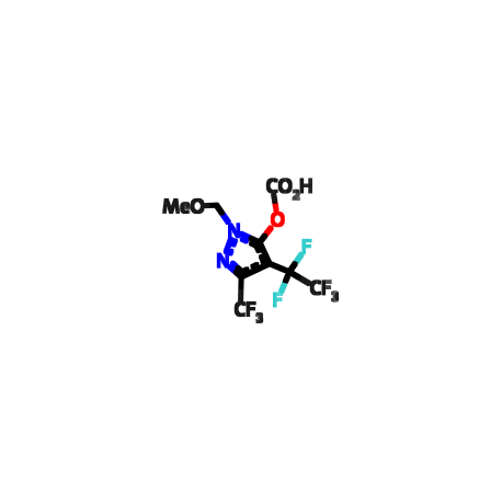 COCn1nc(C(F)(F)F)c(C(F)(F)C(F)(F)F)c1OC(=O)O